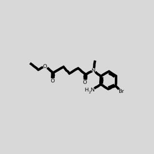 CCOC(=O)CCCC(=O)N(C)c1ccc(Br)cc1N